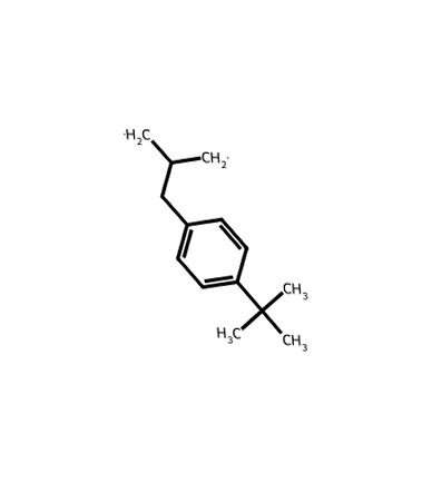 [CH2]C([CH2])Cc1ccc(C(C)(C)C)cc1